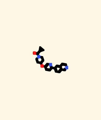 O=C(C1CC1)N1CCC(Oc2ccc(-c3ccc4cnccc4c3)nc2)CC1